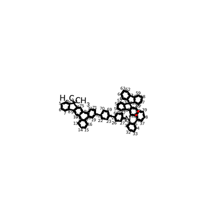 CC1(C)c2ccccc2-c2cc3c4ccccc4c4cc(-c5ccc(-c6ccc(N(c7ccccc7-c7ccccc7)c7cccc8c7-c7ccccc7C87c8ccccc8-c8ccccc87)cc6)cc5)ccc4c3cc21